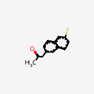 CC(=O)Cc1ccc2cc(F)ccc2c1